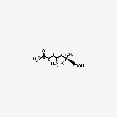 CC(C)(C#CO)CC(N)CCC(N)=O